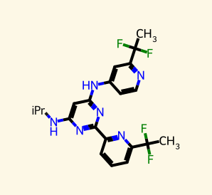 CC(C)Nc1cc(Nc2ccnc(C(C)(F)F)c2)nc(-c2cccc(C(C)(F)F)n2)n1